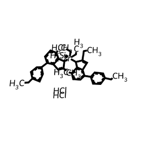 CCC1=Cc2c(-c3ccc(CC)cc3)ccc(C)c2[CH]1[Zr](=[SiH2])([CH2]C)([CH2]C)[CH]1C(C)=Cc2c(-c3ccc(CC)cc3)ccc(C)c21.Cl.Cl